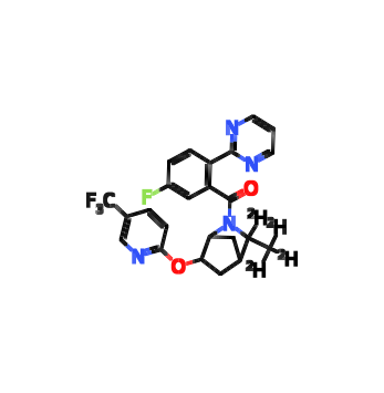 [2H]C([2H])([2H])C1([2H])C2CC(Oc3ccc(C(F)(F)F)cn3)C(C2)N1C(=O)c1cc(F)ccc1-c1ncccn1